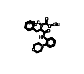 CC(C)(C)OC(=O)N(C(=O)O)C(Cc1ccccc1)C(=O)Nc1ccccc1N1CCOCC1